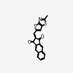 Cc1nc2sc(C=C3C(=O)c4cc5ccccc5cc4C3=O)cc2s1